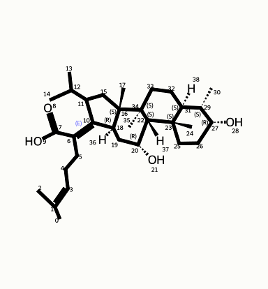 CC(C)=CCC/C(C(=O)O)=C1/C(C(C)C)C[C@@]2(C)[C@H]1C[C@@H](O)[C@H]1[C@@]3(C)CC[C@@H](O)[C@@H](C)[C@@H]3CC[C@@]12C